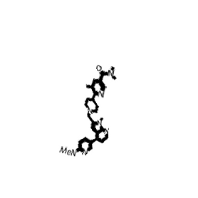 CNc1ccc(-c2ccnc3c2cc(CN2CCC(c4ncc(C(=O)N(C)C)cc4C)CC2)n3C)cn1